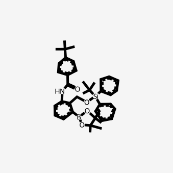 CC(C)(C)c1ccc(C(=O)Nc2cccc(B3OC(C)(C)C(C)(C)O3)c2CO[Si](c2ccccc2)(c2ccccc2)C(C)(C)C)cc1